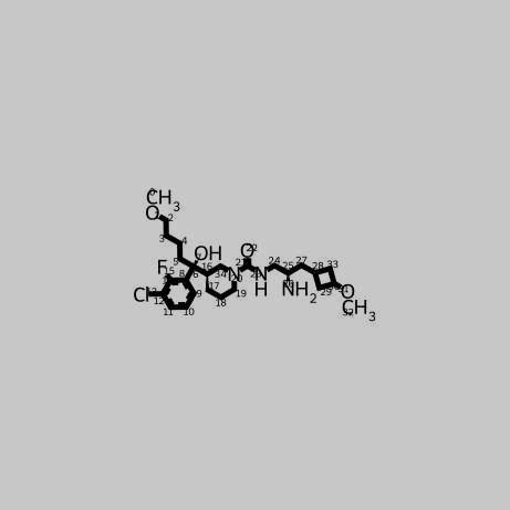 COCCCC[C@@](O)(c1cccc(Cl)c1F)[C@@H]1CCCN(C(=O)NC[C@H](N)CC2CC(OC)C2)C1